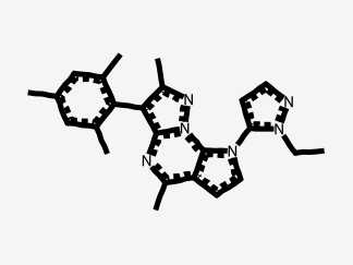 CCn1nccc1-n1ccc2c(C)nc3c(-c4c(C)cc(C)cc4C)c(C)nn3c21